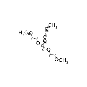 COCCO[C]=C(OCCOC)OCCOC